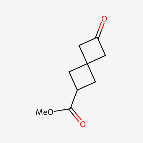 COC(=O)C1CC2(CC(=O)C2)C1